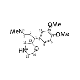 CNCCC(c1ccc(OC)c(OC)c1)C1CNCCO1